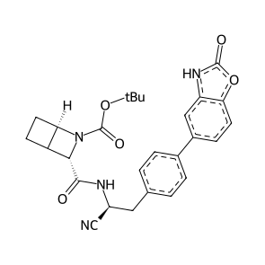 CC(C)(C)OC(=O)N1[C@@H]2CCC2[C@H]1C(=O)N[C@H](C#N)Cc1ccc(-c2ccc3oc(=O)[nH]c3c2)cc1